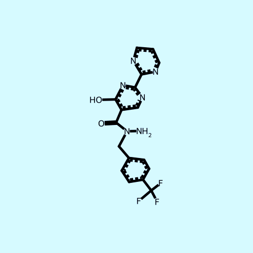 NN(Cc1ccc(C(F)(F)F)cc1)C(=O)c1cnc(-c2ncccn2)nc1O